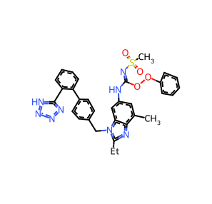 CCc1nc2c(C)cc(NC(=NS(C)(=O)=O)OOc3ccccc3)cc2n1Cc1ccc(-c2ccccc2-c2nnn[nH]2)cc1